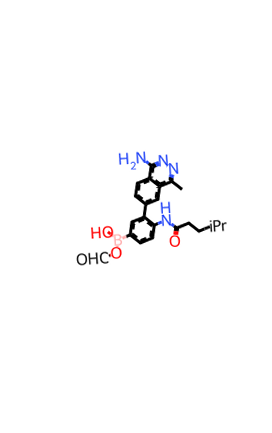 Cc1nnc(N)c2ccc(-c3cc(B(O)OC=O)ccc3NC(=O)CCC(C)C)cc12